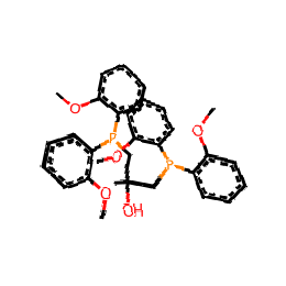 COc1ccccc1P(CC(C)(O)CP(c1ccccc1OC)c1ccccc1OC)c1ccccc1OC